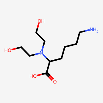 NCCCCC(C(=O)O)N(CCO)CCO